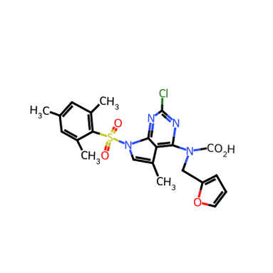 Cc1cc(C)c(S(=O)(=O)n2cc(C)c3c(N(Cc4ccco4)C(=O)O)nc(Cl)nc32)c(C)c1